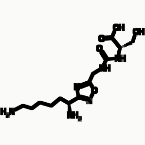 NCCCCC[C@H](N)c1noc(CNC(=O)N[C@@H](CO)C(=O)O)n1